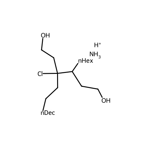 CCCCCCCCCCCCC(Cl)(CCO)C(CCO)CCCCCC.N.[H+]